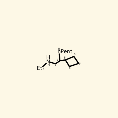 CCCCCC(CNCC)C1CCC1